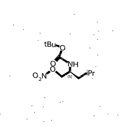 CC(C)C[C@@H](CO[N+](=O)[O-])NC(=O)OC(C)(C)C